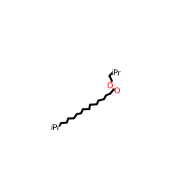 CC(C)CCCCCCCCCCCCCCC(=O)OCCC(C)C